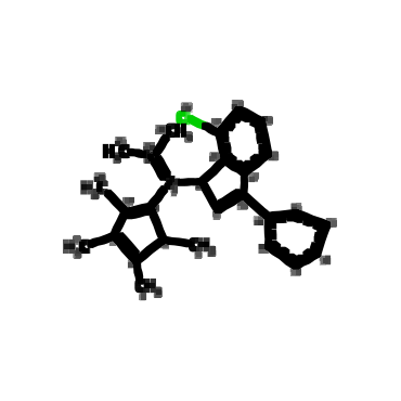 CC1=C(C)C(C)[C]([Zr]([CH]2C=C(c3ccccc3)c3cccc(Cl)c32)=[Si](C)C)=C1C